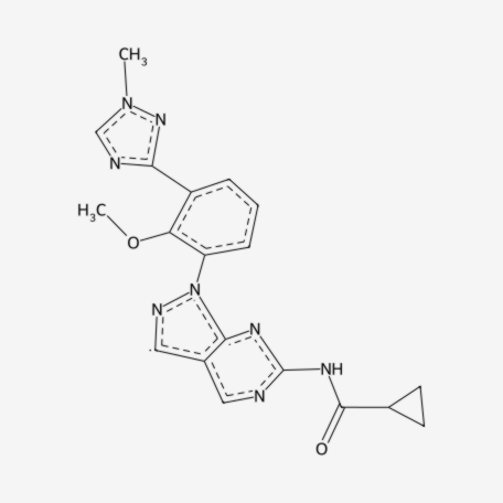 COc1c(-c2ncn(C)n2)cccc1-n1n[c]c2cnc(NC(=O)C3CC3)nc21